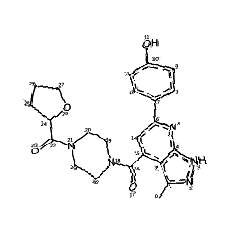 Cc1n[nH]c2nc(-c3ccc(O)cc3)cc(C(=O)N3CCN(C(=O)C4CCCO4)CC3)c12